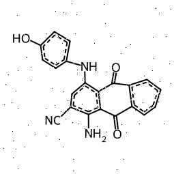 N#Cc1cc(Nc2ccc(O)cc2)c2c(c1N)C(=O)c1ccccc1C2=O